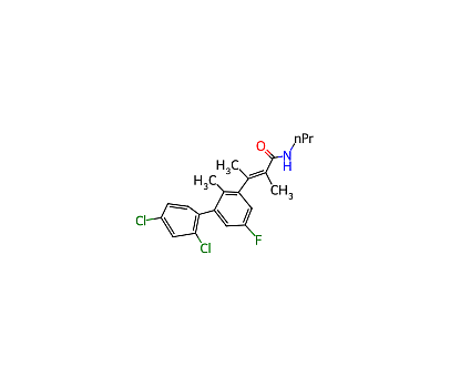 CCCNC(=O)/C(C)=C(\C)c1cc(F)cc(-c2ccc(Cl)cc2Cl)c1C